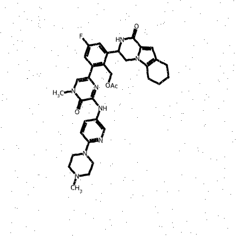 CC(=O)OCc1c(-c2cn(C)c(=O)c(Nc3ccc(N4CCN(C)CC4)nc3)n2)cc(F)cc1C1Cn2c(cc3c2CCCC3)C(=O)N1